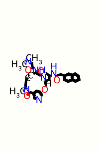 CN(C)CC(=O)N[C@H]1CCCCN(C)C(=O)c2cncc(c2)OC[C@@H]2C[C@H](NC(=O)Cc3ccc4ccccc4c3)CN2C1=O